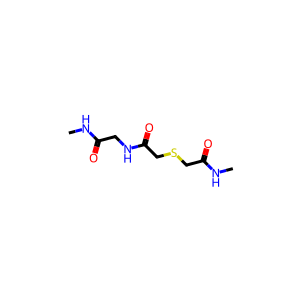 CNC(=O)CNC(=O)CSCC(=O)NC